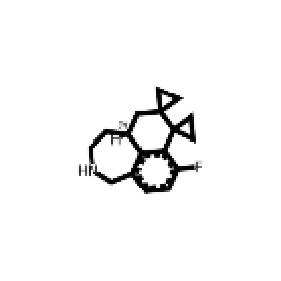 Fc1ccc2c3c1C1(CC1)C1(CC1)C[C@@H]3CCNC2